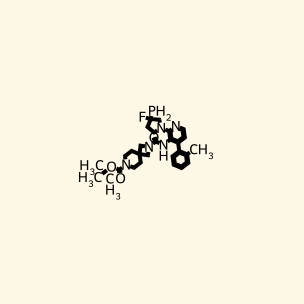 Cc1ccccc1-c1ccnc(N2CCC(F)(P)C2)c1NC(=O)N1CC2(CCN(C(=O)OC(C)(C)C)CC2)C1